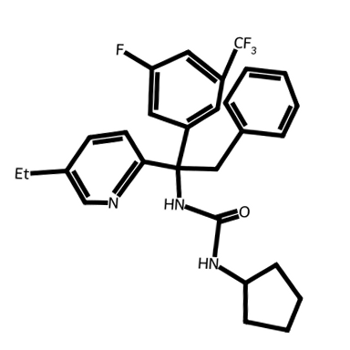 CCc1ccc(C(Cc2ccccc2)(NC(=O)NC2CCCC2)c2cc(F)cc(C(F)(F)F)c2)nc1